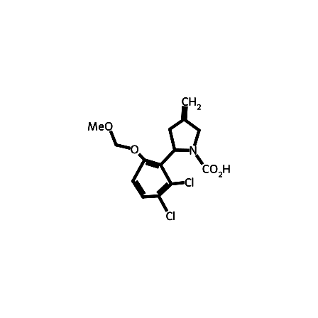 C=C1CC(c2c(OCOC)ccc(Cl)c2Cl)N(C(=O)O)C1